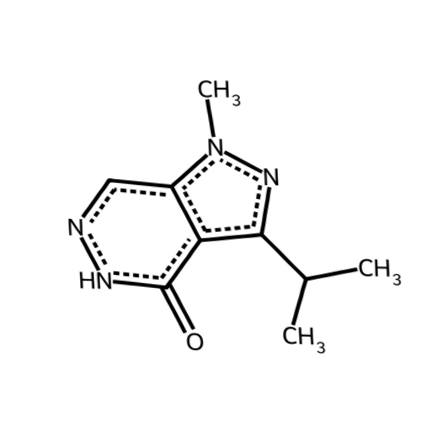 CC(C)c1nn(C)c2cn[nH]c(=O)c12